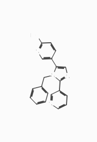 Cc1ccc(-c2cnc(-c3cccnc3)n2Cc2ccccc2)cn1